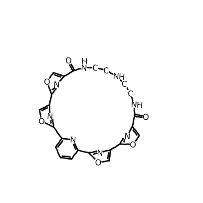 O=C1NCCNCCNC(=O)c2coc(n2)-c2coc(n2)-c2cccc(n2)-c2nc(co2)-c2nc1co2